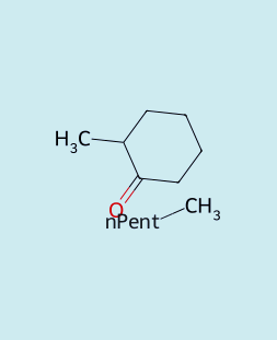 CC1CCCCC1=O.CCCCCC